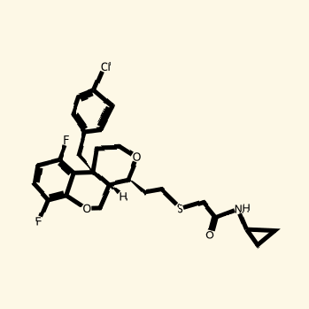 O=C(CSCC[C@@H]1OCC[C@@]2(Cc3ccc(Cl)cc3)c3c(F)ccc(F)c3OC[C@@H]12)NC1CC1